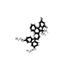 COc1ccc(C2(c3ccc(OC)cc3)C=Cc3c4c(c5ccccc5c3O2)-c2cc(Br)cc(Br)c2C4(C)C)cc1